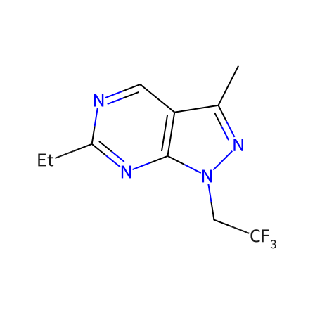 CCc1ncc2c(C)nn(CC(F)(F)F)c2n1